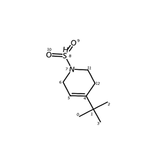 CC(C)(C)C1=CCN([SH](=O)=O)CC1